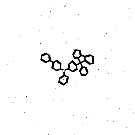 C1=CC(N(c2ccccc2)c2ccc(C3(c4ccccc4)c4ccccc4-c4ccccc43)cc2)CC=C1c1ccccc1